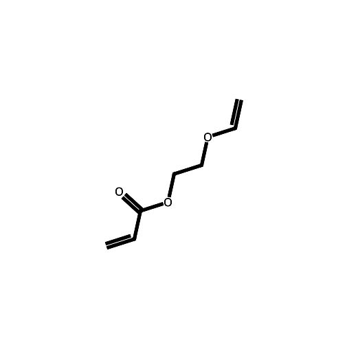 C=COCCOC(=O)C=C